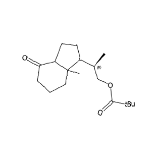 C[C@@H](COC(=O)C(C)(C)C)C1CCC2C(=O)CCCC21C